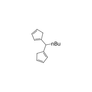 CCCCC(C1=CC=CC1)C1=CC=CC1